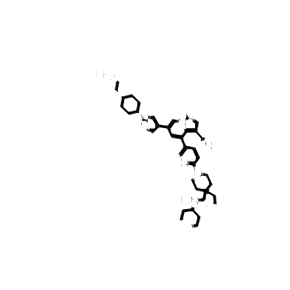 CCC1(C(=O)NC2CCOCC2)CCN(c2ccc(-c3cc(-c4cnn([C@H]5CC[C@H](CCO)CC5)c4)cn4ncc(C#N)c34)cn2)CC1